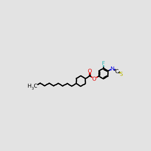 CCCCCCCCCC1CCC(C(=O)Oc2ccc(N=C=S)c(F)c2)CC1